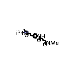 CNC(=O)CCCC(=O)Nc1ccc(CCC(=O)/C=C(/C)NC(C)C)cc1